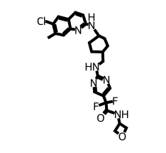 Cc1cc2nc(NC3CCC(CNc4ncc(C(F)(F)C(=O)NC5COC5)cn4)CC3)ccc2cc1Cl